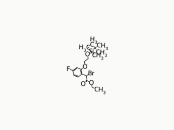 CCOC(=O)C(Br)c1ccc(F)cc1OCCO[Si](C)(C)C(C)(C)C